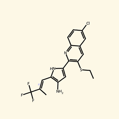 CCSc1cc2cc(Cl)ccc2nc1-c1cc(N)c(/C=C(\C)C(F)(F)F)[nH]1